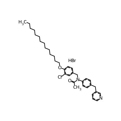 Br.CCCCCCCCCCCCCCOc1ccc(CN(C(C)=O)c2ccc(Cc3cccnc3)cc2)cc1Cl